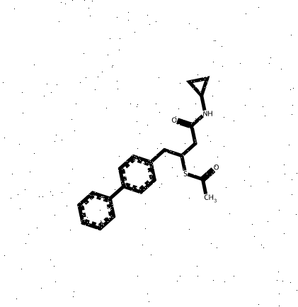 CC(=O)SC(CC(=O)NC1CC1)Cc1ccc(-c2ccccc2)cc1